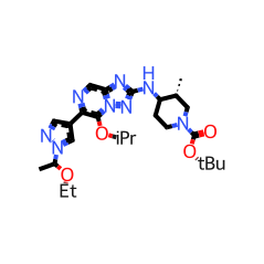 CCOC(C)n1cc(-c2ncc3nc(NC4CCN(C(=O)OC(C)(C)C)C[C@H]4C)nn3c2OC(C)C)cn1